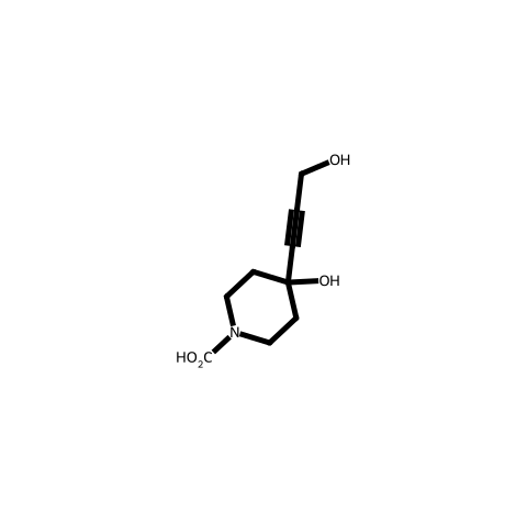 O=C(O)N1CCC(O)(C#CCO)CC1